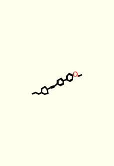 CCCC1CCC(C#Cc2ccc(-c3ccc(OCC)cc3)cc2)CC1